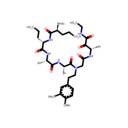 CCC[C@H](NC(=O)CN(CCc1ccc(OC)c(OC)c1)C(=O)[C@@H](NC(=O)[C@@H](NC(=O)[C@H](CCC(=O)O)NC(=O)[C@H](CCC(=O)O)NC(C)=O)C(C)C)C(C)C)C(=O)C(=O)NCC(=O)O